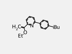 C=C(OCC)c1cccc(-c2ccc(C(C)CC)cc2)n1